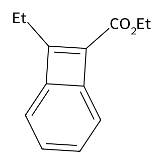 CCOC(=O)C1=C(CC)c2ccccc21